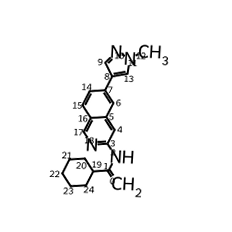 C=C(Nc1cc2cc(-c3cnn(C)c3)ccc2cn1)C1CCCCC1